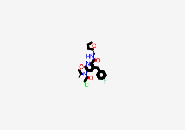 C[C@H]1COc2nc(C(=O)NC[C@@H]3CCCO3)c(Cc3ccc(F)cc3)cc2N1C(=O)CCl